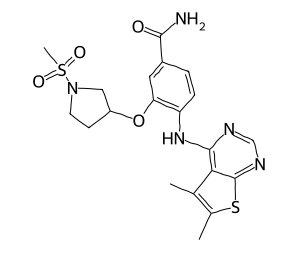 Cc1sc2ncnc(Nc3ccc(C(N)=O)cc3OC3CCN(S(C)(=O)=O)C3)c2c1C